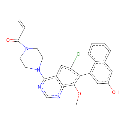 C=CC(=O)N1CCN(c2ncnc3c(OC)c(-c4cc(O)cc5ccccc45)c(Cl)cc23)CC1